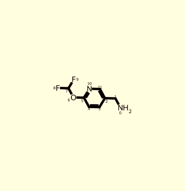 NCc1ccc(OC(F)F)nc1